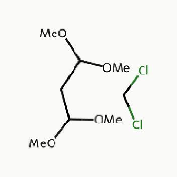 COC(CC(OC)OC)OC.ClCCl